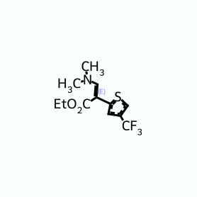 CCOC(=O)/C(=C\N(C)C)c1cc(C(F)(F)F)cs1